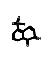 N=C1C=CC2=C(S(=O)(=O)I)C=CCC2C1=O